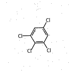 Clc1[c]c(Cl)c(Cl)c(Cl)c1